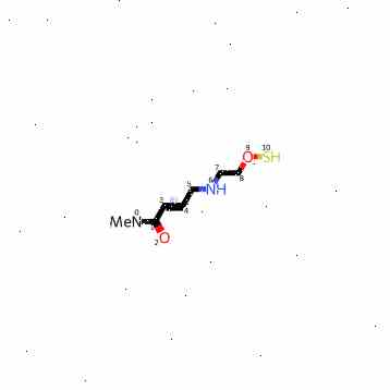 CNC(=O)/C=C/CNCCOS